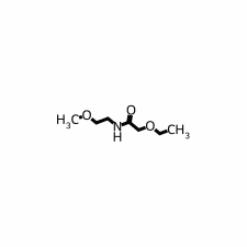 CCOCC(=O)NCCOC